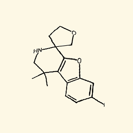 CC1(C)CNC2(CCOC2)c2oc3cc(I)ccc3c21